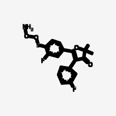 CC1(C)OC(c2ccc(SOON)c(F)c2)=C(c2cccc(F)c2)C1=O